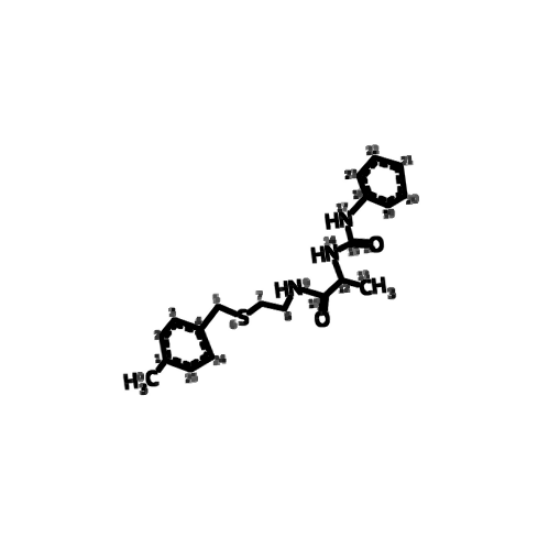 Cc1ccc(CSCCNC(=O)C(C)NC(=O)Nc2ccccc2)cc1